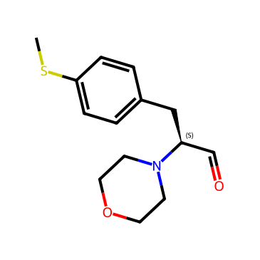 CSc1ccc(C[C@@H](C=O)N2CCOCC2)cc1